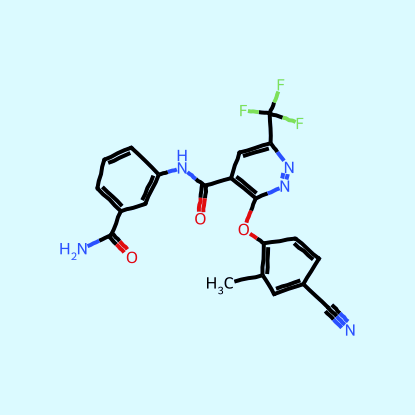 Cc1cc(C#N)ccc1Oc1nnc(C(F)(F)F)cc1C(=O)Nc1cccc(C(N)=O)c1